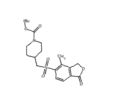 Cc1c(S(=O)(=O)CC2CCN(C(=O)OC(C)(C)C)CC2)ccc2c1COC2=O